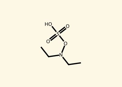 CCN(CC)OS(=O)(=O)O